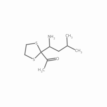 CC(=O)C1(C(N)CC(C)C)SCCS1